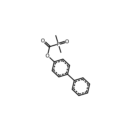 CP(C)(=O)C(=O)Oc1ccc(-c2ccccc2)cc1